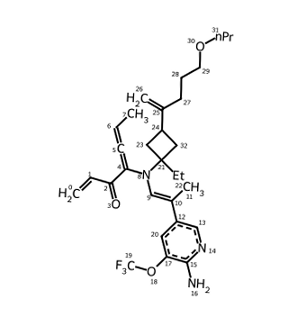 C=CC(=O)C(=C=CC)N(/C=C(\C)c1cnc(N)c(OC(F)(F)F)c1)C1(CC)CC(C(=C)CCCOCCC)C1